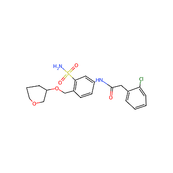 NS(=O)(=O)c1cc(NC(=O)Cc2ccccc2Cl)ccc1COC1CCCOC1